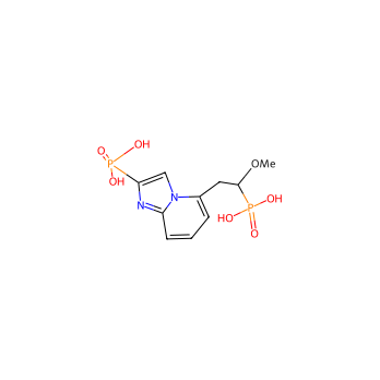 COC(Cc1cccc2nc(P(=O)(O)O)cn12)P(=O)(O)O